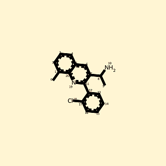 Cc1cccc2cc(C(C)N)c(-c3ccccc3Cl)nc12